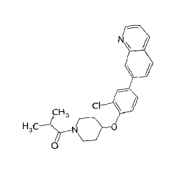 CC(C)C(=O)N1CCC(Oc2ccc(-c3ccc4cccnc4c3)cc2Cl)CC1